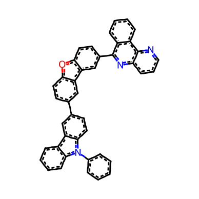 c1ccc(-n2c3ccccc3c3cc(-c4ccc5oc6ccc(-c7nc8cccnc8c8ccccc78)cc6c5c4)ccc32)cc1